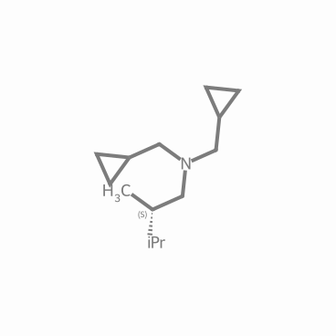 CC(C)[C@H](C)CN(CC1CC1)CC1CC1